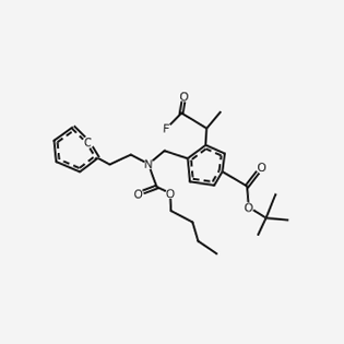 CCCCOC(=O)N(CCc1ccccc1)Cc1ccc(C(=O)OC(C)(C)C)cc1C(C)C(=O)F